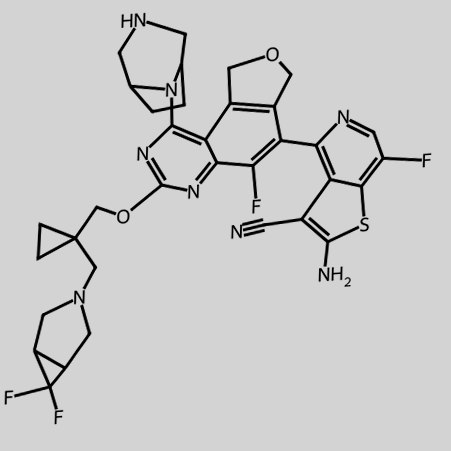 N#Cc1c(N)sc2c(F)cnc(-c3c4c(c5c(N6C7CCC6CNC7)nc(OCC6(CN7CC8C(C7)C8(F)F)CC6)nc5c3F)COC4)c12